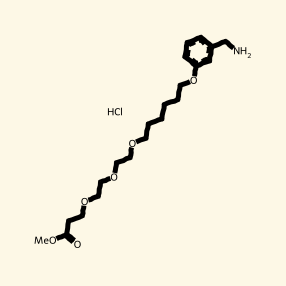 COC(=O)CCOCCOCCOCCCCCCOc1cccc(CN)c1.Cl